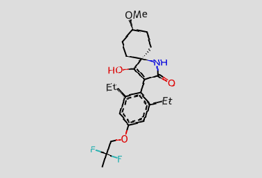 CCc1cc(OCC(C)(F)F)cc(CC)c1C1=C(O)[C@]2(CC[C@H](OC)CC2)NC1=O